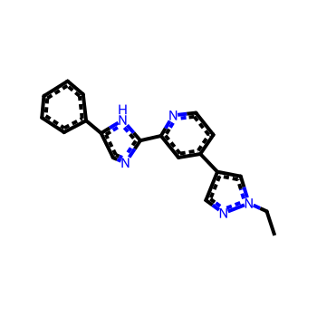 CCn1cc(-c2ccnc(-c3ncc(-c4ccccc4)[nH]3)c2)cn1